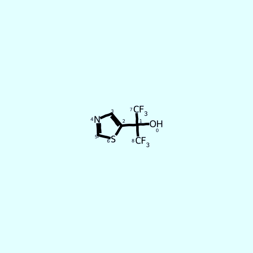 OC(c1cn[c]s1)(C(F)(F)F)C(F)(F)F